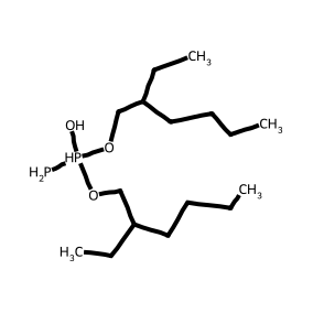 CCCCC(CC)CO[PH](O)(P)OCC(CC)CCCC